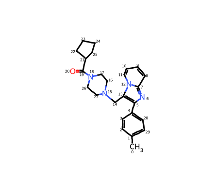 Cc1ccc(-c2nc3ccccn3c2CN2CCN(C(=O)C3CCCC3)CC2)cc1